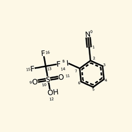 N#Cc1ccccc1I.O=S(=O)(O)C(F)(F)F